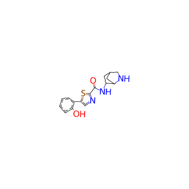 O=C(NC1CC2CNC1C2)c1ncc(-c2ccccc2O)s1